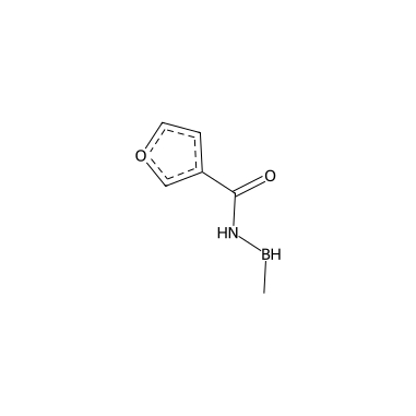 CBNC(=O)c1ccoc1